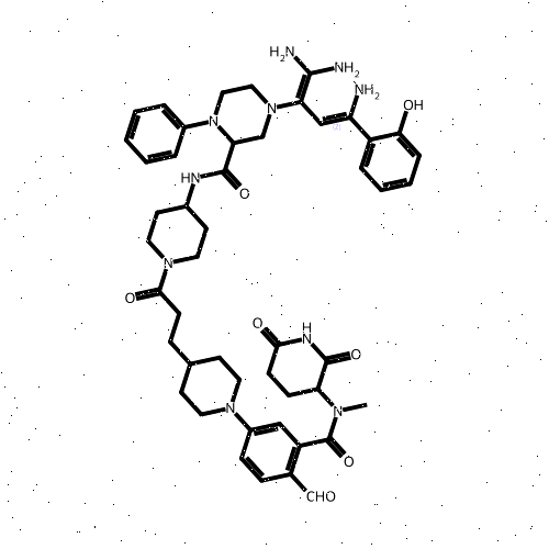 CN(C(=O)c1cc(N2CCC(CCC(=O)N3CCC(NC(=O)C4CN(C(/C=C(\N)c5ccccc5O)=C(N)N)CCN4c4ccccc4)CC3)CC2)ccc1C=O)C1CCC(=O)NC1=O